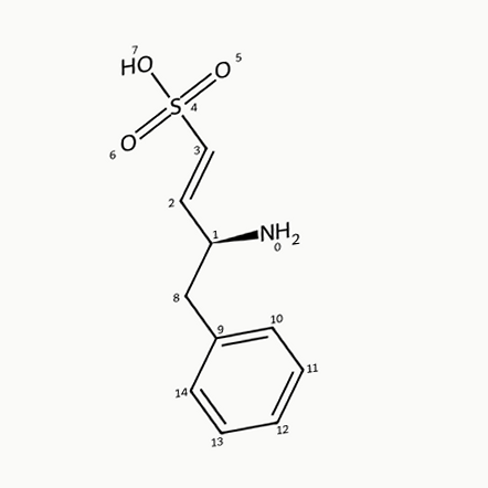 N[C@H](/C=C/S(=O)(=O)O)Cc1ccccc1